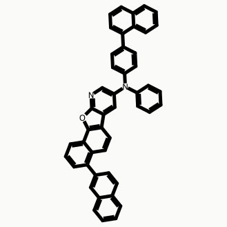 c1ccc(N(c2ccc(-c3cccc4ccccc34)cc2)c2cnc3oc4c5cccc(-c6ccc7ccccc7c6)c5ccc4c3c2)cc1